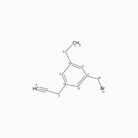 C#CCc1cc(CC)cc(CBr)c1